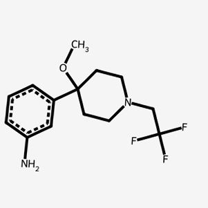 COC1(c2cccc(N)c2)CCN(CC(F)(F)F)CC1